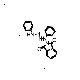 O=C1c2ccccc2C(=O)N1N(N=NNc1ccccc1)c1ccccc1